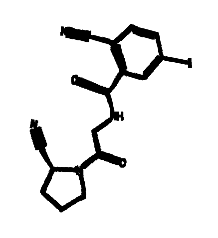 N#Cc1ccc(I)cc1C(=O)NCC(=O)N1CCC[C@H]1C#N